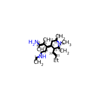 C=CNCCC(/C(C)=C(\C)N)=C1/CC(=C)N(C)C(=C)C1/C=C/CC